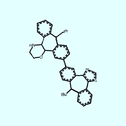 CC(C)C1c2ccccc2C2NCCOC2c2cc(-c3ccc4c(c3)-c3ncsc3-c3ccccc3C4C(C)(C)C)ccc21